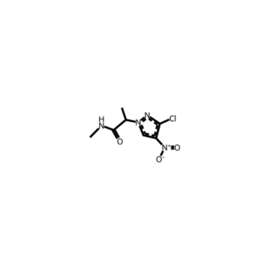 CNC(=O)C(C)n1cc([N+](=O)[O-])c(Cl)n1